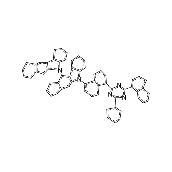 c1ccc(-c2nc(-c3cccc4ccccc34)nc(-c3cccc4c(-n5c6ccccc6c6c(-n7c8ccccc8c8cc9ccccc9cc87)c7ccccc7cc65)cccc34)n2)cc1